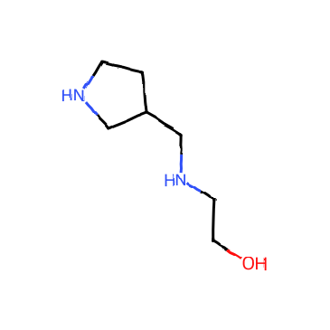 OCCNCC1CCNC1